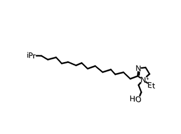 CC[N+]1(CCO)CCN=C1CCCCCCCCCCCCCCC(C)C